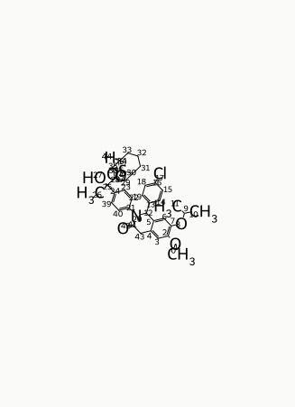 COc1cc2c(cc1OC(C)C)C(c1ccc(Cl)cc1)N(c1ccc(C(C)(O)C3CC4CCC[C@@H](C3)S4(=O)=O)cc1)C(=O)C2